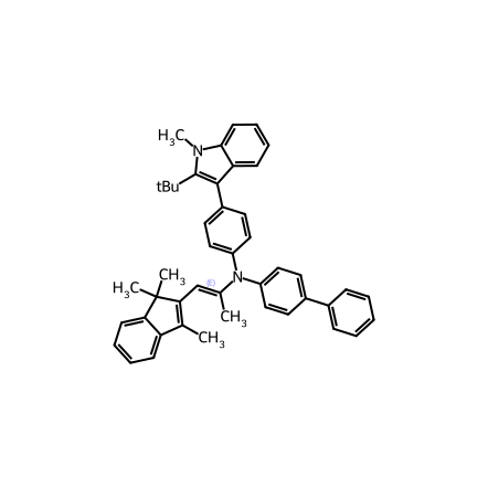 CC1=C(/C=C(\C)N(c2ccc(-c3ccccc3)cc2)c2ccc(-c3c(C(C)(C)C)n(C)c4ccccc34)cc2)C(C)(C)c2ccccc21